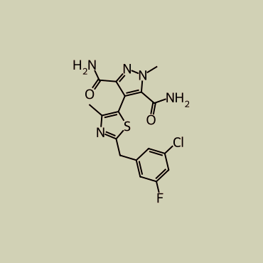 Cc1nc(Cc2cc(F)cc(Cl)c2)sc1-c1c(C(N)=O)nn(C)c1C(N)=O